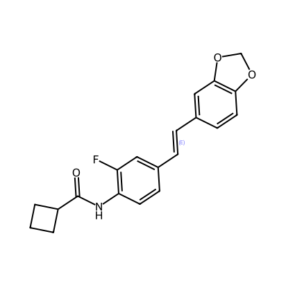 O=C(Nc1ccc(/C=C/c2ccc3c(c2)OCO3)cc1F)C1CCC1